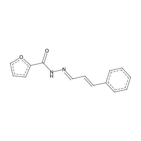 O=C(NN=CC=Cc1ccccc1)c1ccco1